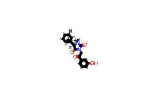 CN1C(=O)N(CC(=O)c2cccc(O)c2)C(=O)[C@@]1(C)[C@H]1CC2CC[C@@H](CC2)C1